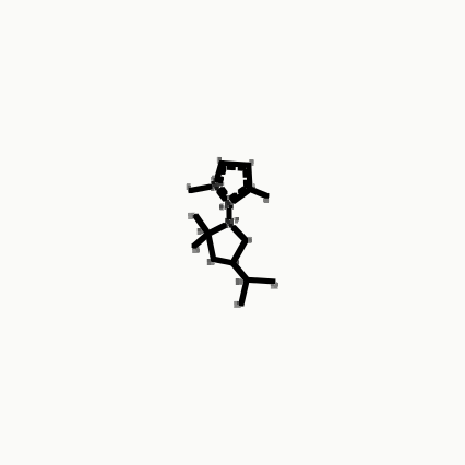 Cc1cc[n+](C)n1N1CC(C(C)C)CC1(C)C